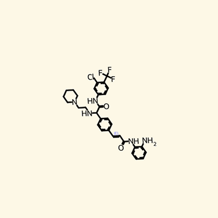 Nc1ccccc1NC(=O)/C=C/c1ccc(C(NCCN2CCCCC2)C(=O)Nc2ccc(C(F)(F)F)c(Cl)c2)cc1